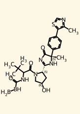 BBC(=O)NC(C(=O)N1C[C@H](O)C[C@H]1C1=NC(=O)[C@](C)(c2ccc(-c3scnc3C)cc2)N1)C(C)(C)C